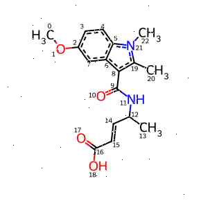 COc1ccc2c(c1)c(C(=O)NC(C)/C=C/C(=O)O)c(C)n2C